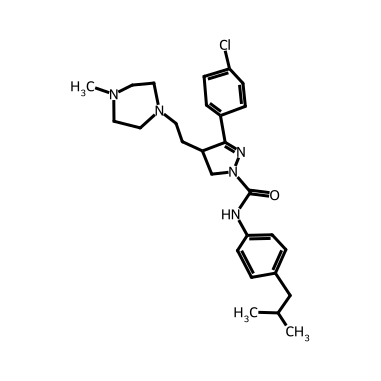 CC(C)Cc1ccc(NC(=O)N2CC(CCN3CCN(C)CC3)C(c3ccc(Cl)cc3)=N2)cc1